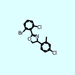 Cc1cc(Cl)ccc1C1COC(c2c(Cl)cccc2Br)=N1